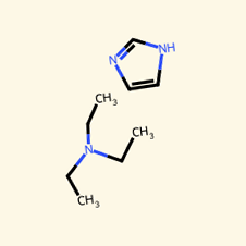 CCN(CC)CC.c1c[nH]cn1